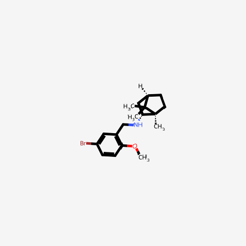 COc1ccc(Br)cc1CN[C@@H]1C[C@H]2CC[C@]1(C)C2(C)C